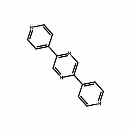 c1cc(-c2cnc(-c3ccncc3)cn2)ccn1